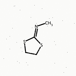 CN=C1SCCS1